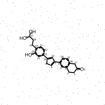 O=C1CCc2cc(C3=CCC(c4ccc(CCC(O)O)c(O)c4)=C3)ccc2C1